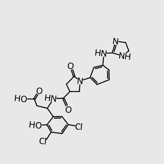 O=C(O)CC(NC(=O)C1CC(=O)N(c2cccc(NC3=NCCN3)c2)C1)c1cc(Cl)cc(Cl)c1O